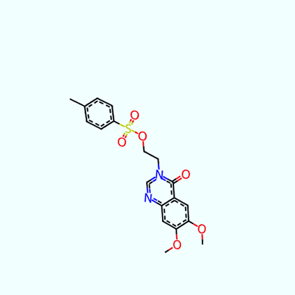 COc1cc2ncn(CCOS(=O)(=O)c3ccc(C)cc3)c(=O)c2cc1OC